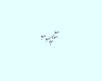 [Co+2].[In+3].[In+3].[In+3].[O-2]